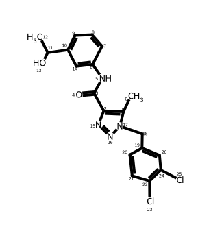 Cc1c(C(=O)Nc2cccc(C(C)O)c2)nnn1Cc1ccc(Cl)c(Cl)c1